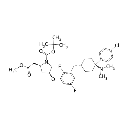 COC(=O)C[C@@H]1C[C@H](Oc2cc(F)cc(C[C@H]3CC[C@](c4ccc(Cl)cc4)(N(C)C)CC3)c2F)CN1C(=O)OC(C)(C)C